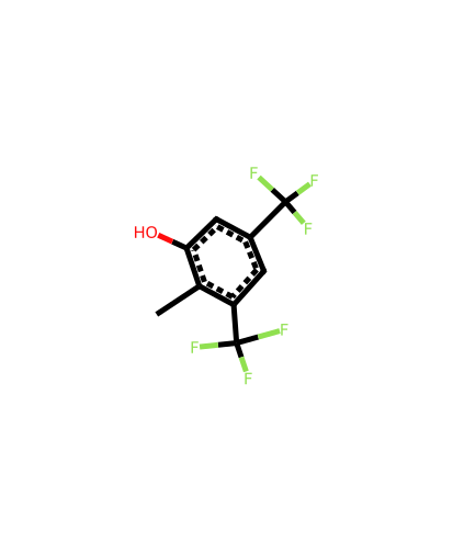 Cc1c(O)cc(C(F)(F)F)cc1C(F)(F)F